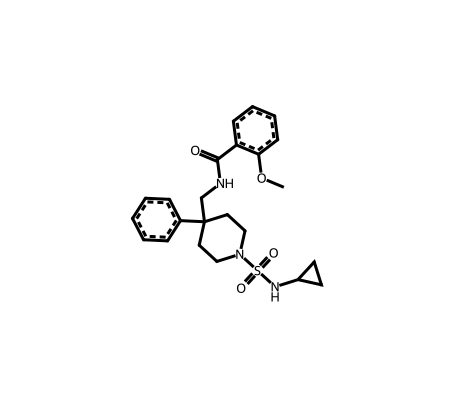 COc1ccccc1C(=O)NCC1(c2ccccc2)CCN(S(=O)(=O)NC2CC2)CC1